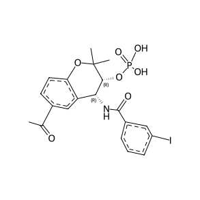 CC(=O)c1ccc2c(c1)[C@@H](NC(=O)c1cccc(I)c1)[C@@H](OP(=O)(O)O)C(C)(C)O2